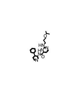 CC(C)OCCCNc1nccc(C(=O)Nc2cnccc2-c2ccccc2)n1